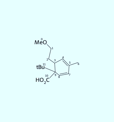 COCCC1C=C(C)C=CC1(C(=O)O)C(C)(C)C